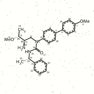 COc1ccc(-c2ccc(N(C[C@@H](N)[C@@H](C)OC)C(=O)N[C@@H](C)c3ccccc3)cc2)cc1